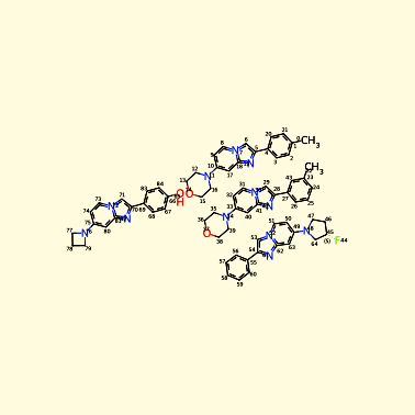 Cc1ccc(-c2cn3ccc(N4CCOCC4)cc3n2)cc1.Cc1cccc(-c2cn3ccc(N4CCOCC4)cc3n2)c1.F[C@H]1CCN(c2ccn3cc(-c4ccccc4)nc3c2)C1.Oc1ccc(-c2cn3ccc(N4CCC4)cc3n2)cc1